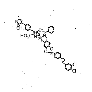 CC[C@@H](c1ccccc1)N1Cc2cc3c(cc2C[C@H]1C(=O)NC(Cc1ccc(-c2ccnn2C)cc1)C(=O)O)OC[C@H](c1ccc(OCc2ccc(Cl)c(Cl)c2)cc1)O3